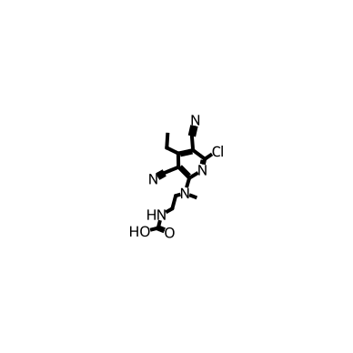 CCc1c(C#N)c(Cl)nc(N(C)CCNC(=O)O)c1C#N